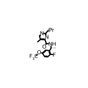 Cc1cnc(C(C)C)nc1C(=O)N[C@H](C)c1cc(OC(F)(F)F)ccc1F